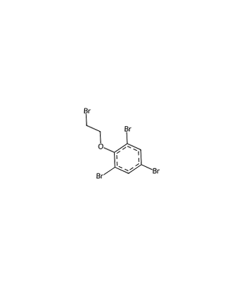 BrCCOc1c(Br)cc(Br)cc1Br